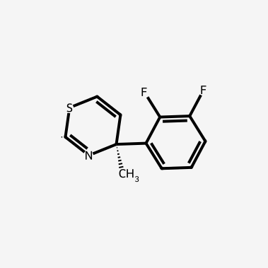 C[C@@]1(c2cccc(F)c2F)C=CS[C]=N1